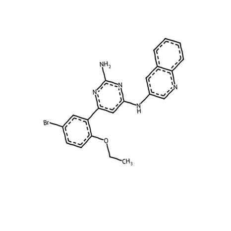 CCOc1ccc(Br)cc1-c1cc(Nc2cnc3ccccc3c2)nc(N)n1